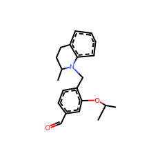 CC(C)Oc1cc(C=O)ccc1CN1c2ccccc2CCC1C